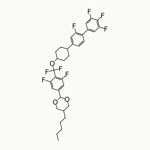 CCCCCC1COC(c2cc(F)c(C(F)(F)OC3CCC(c4ccc(-c5cc(F)c(F)c(F)c5)c(F)c4)CC3)c(F)c2)OC1